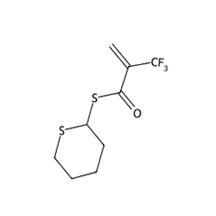 C=C(C(=O)SC1CCCCS1)C(F)(F)F